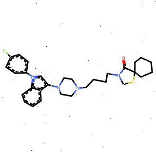 O=C1N(CCCCN2CCN(c3cn(-c4ccc(F)cc4)c4ccccc34)CC2)CSC12CCCCC2